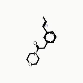 C/C=C/c1cccc(CC(=O)N2CCOCC2)c1